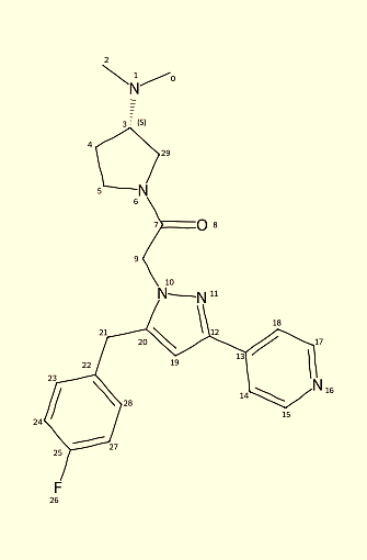 CN(C)[C@H]1CCN(C(=O)Cn2nc(-c3ccncc3)cc2Cc2ccc(F)cc2)C1